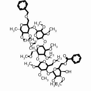 COCC1O[C@@H](O[C@H]2C(OC)C(OC)[C@@H](O[C@H]3C(OC)C(OC)[C@H](O[C@@H]4C(COCc5ccccc5)O[C@@H](C)C(OC)[C@H]4OC)O[C@H]3COC)O[C@H]2COC)C(OC)[C@@H](OC)[C@@H]1O[C@H]1OC(COC(=O)c2ccccc2)[C@@H](O)[C@H](OC)C1OC